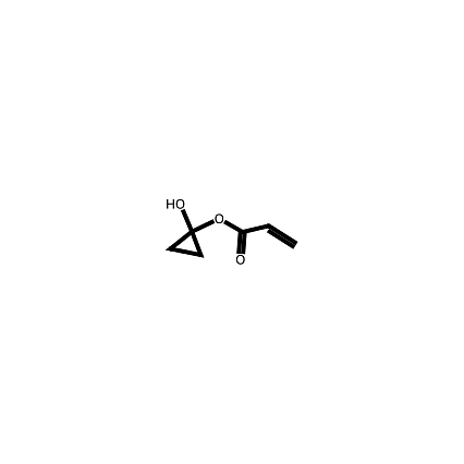 C=CC(=O)OC1(O)CC1